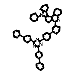 c1ccc(-c2ccc(-c3nc(-c4ccc(-c5ccccc5)cc4)nc(-c4ccc(-c5cccc(-c6nc7ccccc7c7c6ccc6c7c7ccccc7n6-c6ccccc6)c5)cc4)n3)cc2)cc1